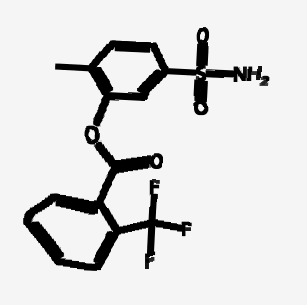 Cc1ccc(S(N)(=O)=O)cc1OC(=O)c1ccccc1C(F)(F)F